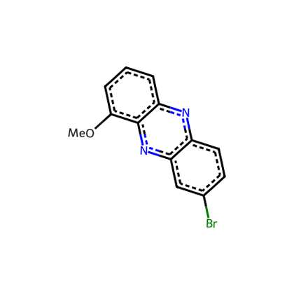 COc1cccc2nc3ccc(Br)cc3nc12